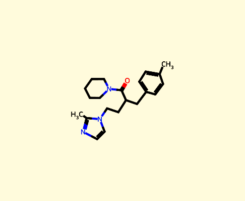 Cc1ccc(CC(CCn2ccnc2C)C(=O)N2CCCCC2)cc1